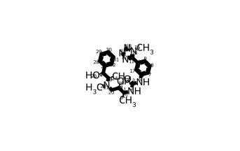 C[C@@H](NC(=O)Nc1cccc(-c2nnnn2C)c1)[C@@H](O)CN(C)[C@@H](C)[C@H](O)c1ccccc1